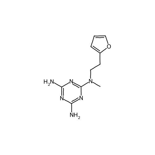 CN(CCc1ccco1)c1nc(N)nc(N)n1